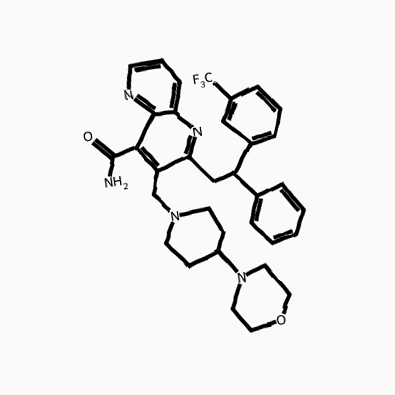 NC(=O)c1c(CN2CCC(N3CCOCC3)CC2)c(CC(c2ccccc2)c2cccc(C(F)(F)F)c2)nc2cccnc12